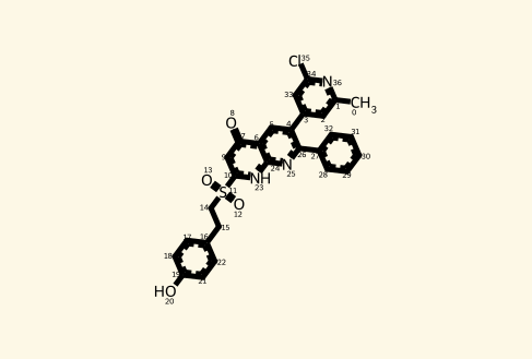 Cc1cc(-c2cc3c(=O)cc(S(=O)(=O)CCc4ccc(O)cc4)[nH]c3nc2-c2ccccc2)cc(Cl)n1